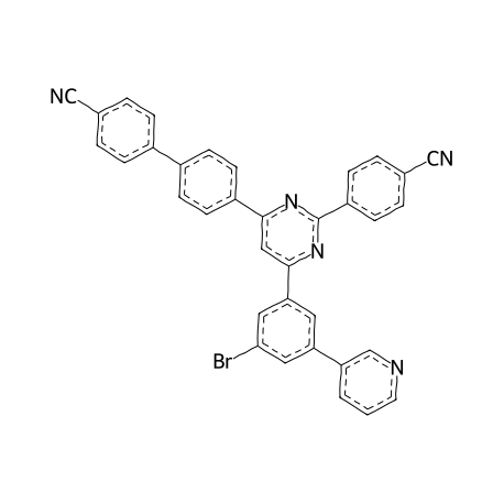 N#Cc1ccc(-c2ccc(-c3cc(-c4cc(Br)cc(-c5cccnc5)c4)nc(-c4ccc(C#N)cc4)n3)cc2)cc1